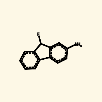 Nc1ccc2c(c1)C(F)c1ccccc1-2